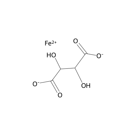 O=C([O-])C(O)C(O)C(=O)[O-].[Fe+2]